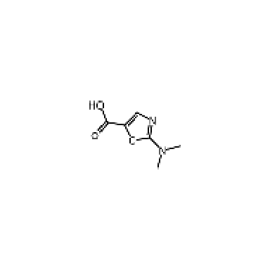 CN(C)c1ncc(C(=O)O)o1